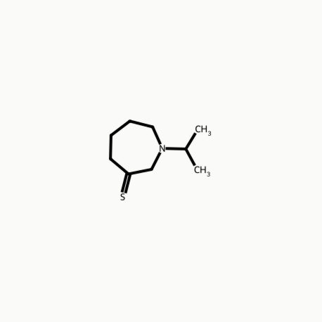 CC(C)N1CCCCC(=S)C1